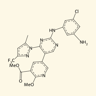 COC(=O)c1cc(-c2cnc(Nc3cc(N)cc(Cl)c3)nc2-n2nc(C(F)(F)F)cc2C)cnc1OC